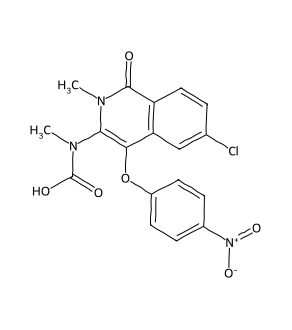 CN(C(=O)O)c1c(Oc2ccc([N+](=O)[O-])cc2)c2cc(Cl)ccc2c(=O)n1C